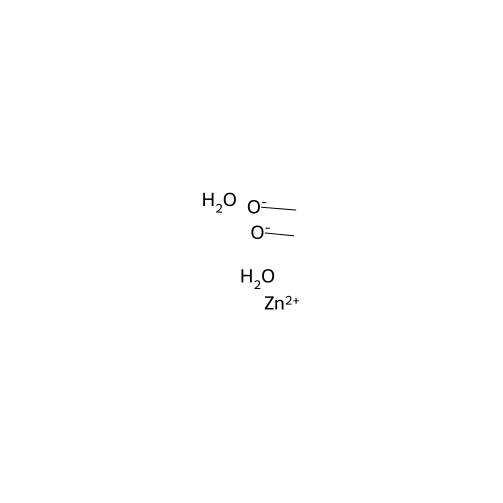 C[O-].C[O-].O.O.[Zn+2]